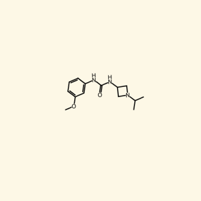 COc1cccc(NC(=O)NC2CN(C(C)C)C2)c1